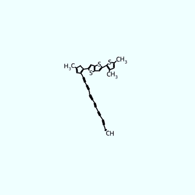 C#CC#CC#CC#CC#CC#CC#CC1=C(c2cc3sc(-c4sc(C)cc4C)cc3s2)CC(C)=C1